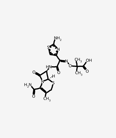 CC1=C(C(N)=O)N2C(=O)[C@@H](NC(=O)/C(=N\OC(C)(C)C(=O)O)c3csc(N)n3)[C@H]2SC1